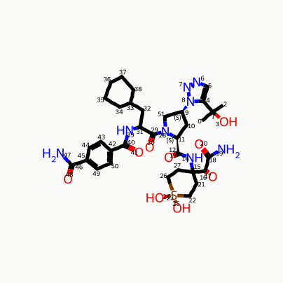 CC(C)(O)c1cnnn1[C@H]1C[C@@H](C(=O)NC2(C(=O)C(N)=O)CCS(O)(O)CC2)N(C(=O)C(CC2CCCCC2)NC(=O)c2ccc(C(N)=O)cc2)C1